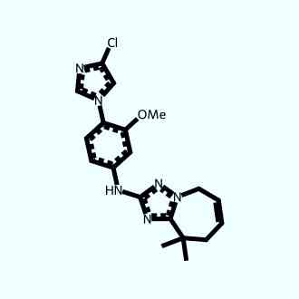 COc1cc(Nc2nc3n(n2)CC=CCC3(C)C)ccc1-n1cnc(Cl)c1